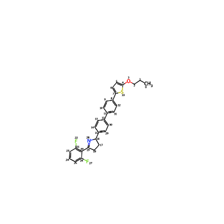 CCCOc1ccc(-c2ccc(-c3ccc(C4CCC(c5c(F)cccc5F)=N4)cc3)cc2)s1